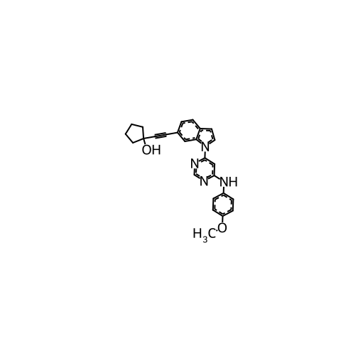 COc1ccc(Nc2cc(-n3ccc4ccc(C#CC5(O)CCCC5)cc43)ncn2)cc1